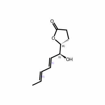 C/C=C/C=C/[C@H](O)[C@H]1CCC(=O)O1